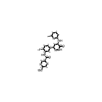 Cc1cccc(Nc2cc(-c3ccc(F)c(NC(=O)c4cnc(C(C)(C)C)cn4)c3)n[nH]c2=O)n1